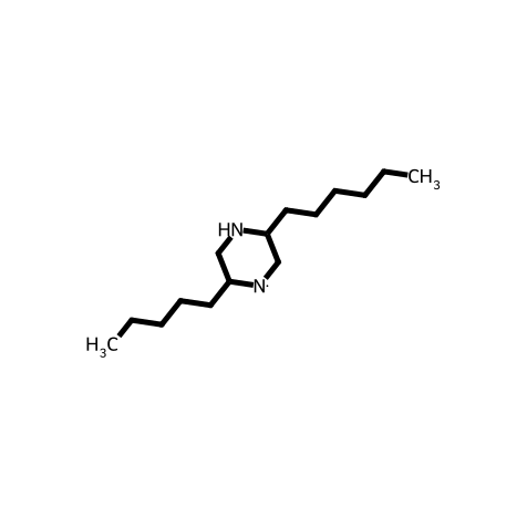 CCCCCCC1C[N]C(CCCCC)CN1